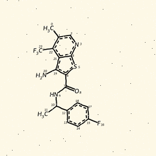 Cc1cnc2sc(C(=O)NC(C)c3ccc(F)cc3)c(N)c2c1C(F)(F)F